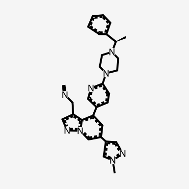 C=NCc1cnn2cc(-c3cnn(C)c3)cc(-c3ccc(N4CCN([C@H](C)c5ccccc5)CC4)nc3)c12